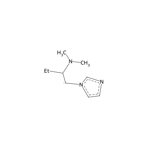 CCC([CH]n1ccnc1)N(C)C